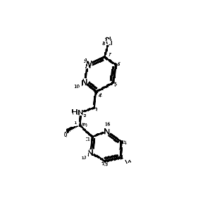 C[C@@H](NCc1ccc(Cl)nn1)c1ncccn1